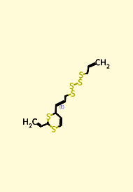 C=CCSSSSC/C=C/C1C=CSC(C=C)S1